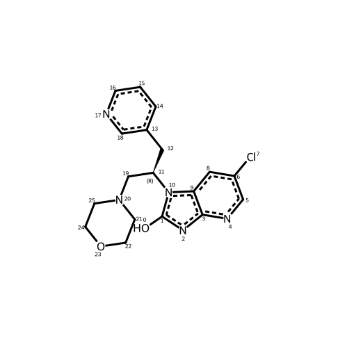 Oc1nc2ncc(Cl)cc2n1[C@H](Cc1cccnc1)CN1CCOCC1